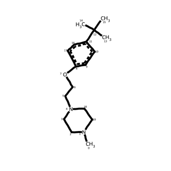 CN1CCN(CCOc2ccc(C(C)(C)C)cc2)CC1